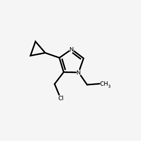 CCn1cnc(C2CC2)c1CCl